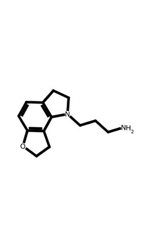 NCCCN1CCc2ccc3c(c21)CCO3